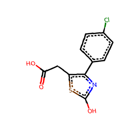 O=C(O)Cc1sc(O)nc1-c1ccc(Cl)cc1